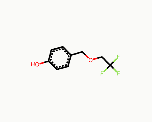 Oc1ccc(COCC(F)(F)F)cc1